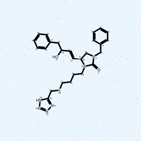 O=C1N(Cc2ccccc2)C[C@H](C=CC(O)Cc2ccccc2)N1CCCCSCc1nnn[nH]1